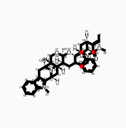 C/C=C1/CN2CC[C@@]34C[C@H]5[C@@H]6C[C@H]7c8c(c9ccccc9n8C)C[C@@H]([C@@H]6CO[C@@]5(C)O[C@@]35[C@@H]2C[C@@H]1[C@@H](C(=O)OC)N5c1ccccc14)N7C